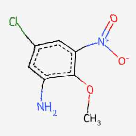 COc1c(N)cc(Cl)cc1[N+](=O)[O-]